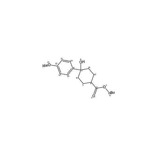 CCCCOC(=O)C1CCC(O)(c2ccc(OC)cc2)CC1